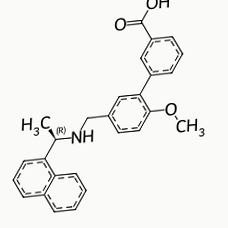 COc1ccc(CN[C@H](C)c2cccc3ccccc23)cc1-c1cccc(C(=O)O)c1